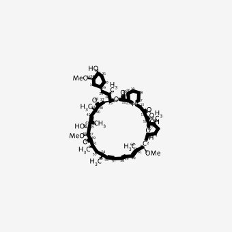 CO[C@H]1C[C@@H]2CC[C@@H](C)[C@@](O)(O2)C(=O)C(=O)CN2CCCC[C@H]2C(=O)O[C@H]([C@H](C)C[C@@H]2CC[C@@H](O)[C@H](OC)C2)CC(=O)[C@H](C)/C=C(\C)[C@@H](O)[C@@H](OC)C(=O)[C@H](C)C[C@H](C)/C=C/C=C/C=C/1C